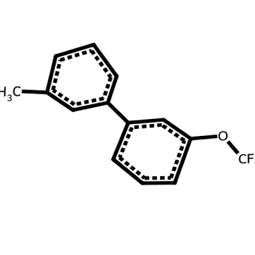 Cc1cccc(-c2cccc(OC(F)(F)F)c2)c1